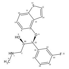 CNC[C@@H](O)[C@@H](Oc1cccc2sccc12)c1cccc(F)c1